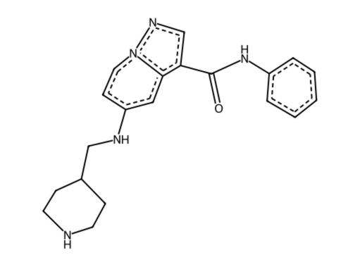 O=C(Nc1ccccc1)c1cnn2ccc(NCC3CCNCC3)cc12